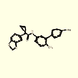 Cc1ccc(NC(=O)C2(c3ccc4c(c3)OCO4)CC2)cc1-c1ccc(C(C)(C)C)cc1